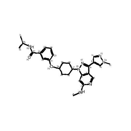 CNc1cc2c(cn1)c(-c1cnn(C)c1)nn2C1CCC(Oc2cccc(C(=O)NC(C)C)c2)CC1